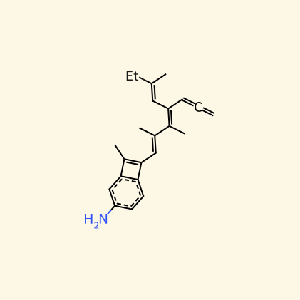 C=C=CC(/C=C(\C)CC)=C(C)/C(C)=C/C1=C(C)c2cc(N)ccc21